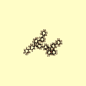 c1ccc(-c2ccc(-n3c4ccc(-c5ccc6c(c5)c5ccccc5n6-c5ccc(-c6ccccc6)cc5-c5ccccc5)cc4c4c(-c5cccc(-c6ccccc6)c5)cccc43)cc2)cc1